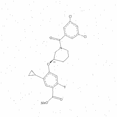 COC(=O)c1cc(C2CC2)c(O[C@@H]2CCCN(C(=O)c3cc(Cl)cc(Cl)c3)C2)cc1F